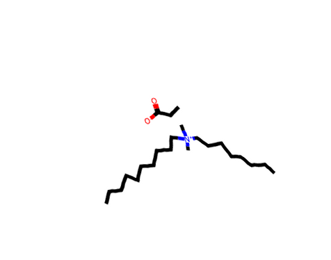 CCC(=O)[O-].CCCCCCCCCC[N+](C)(C)CCCCCCCC